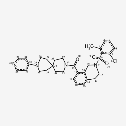 Cc1cccc(Cl)c1S(=O)(=O)N1CCc2cccc(C(=O)N3CCC4(CC3)CCN(c3ccncc3)CC4)c2C1